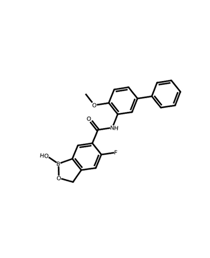 COc1ccc(-c2ccccc2)cc1NC(=O)c1cc2c(cc1F)COB2O